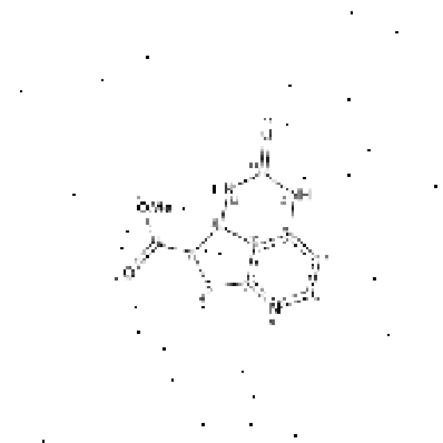 COC(=O)C1Sc2nccc3c2C1NC(=O)N3